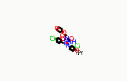 CC(C)Oc1ccc(/N=c2\[nH]c(=O)n(CC(=O)OC3CCOCC3)c(=O)n2Cc2ccc(Cl)cc2)cc1Cl